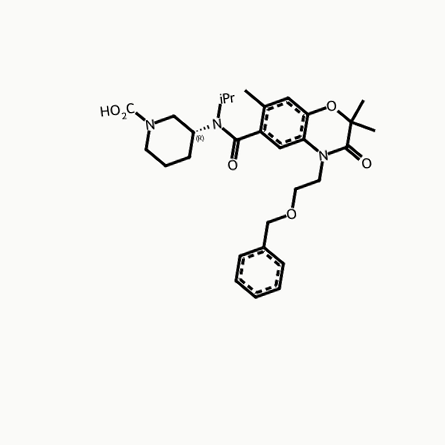 Cc1cc2c(cc1C(=O)N(C(C)C)[C@@H]1CCCN(C(=O)O)C1)N(CCOCc1ccccc1)C(=O)C(C)(C)O2